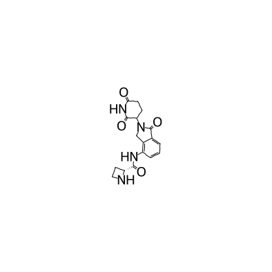 O=C1CCC(N2Cc3c(NC(=O)[C@H]4CCN4)cccc3C2=O)C(=O)N1